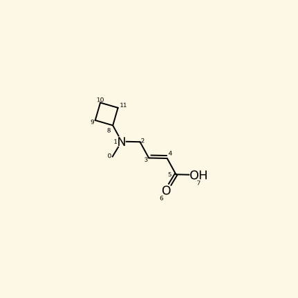 CN(CC=CC(=O)O)C1CCC1